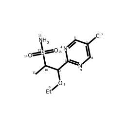 CCOC(c1ncc(Cl)cn1)C(C)S(N)(=O)=O